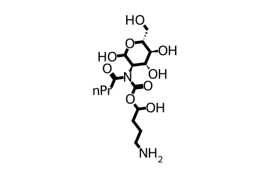 CCCC(=O)N(C(=O)OC(O)CCCN)[C@H]1C(O)O[C@H](CO)[C@@H](O)[C@@H]1O